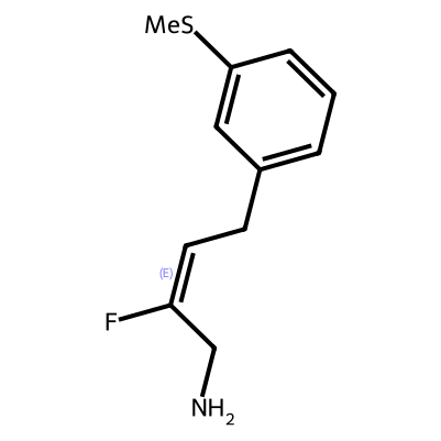 CSc1cccc(C/C=C(/F)CN)c1